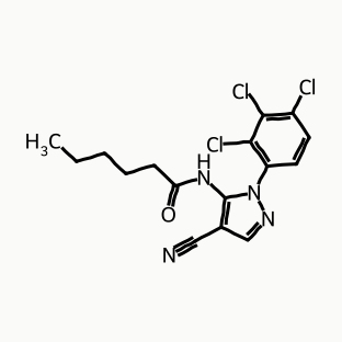 CCCCCC(=O)Nc1c(C#N)cnn1-c1ccc(Cl)c(Cl)c1Cl